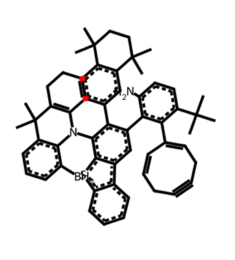 Bc1cccc2c1N(c1c(-c3ccc4c(c3)C(C)(C)CCC4(C)C)c(-c3c(N)ccc(C(C)(C)C)c3C3=C/CC#CC/C=C\3)cc3c1sc1ccccc13)C1=C(CCC=C1)C2(C)C